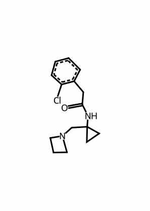 O=C(Cc1ccccc1Cl)NC1(CN2CCC2)CC1